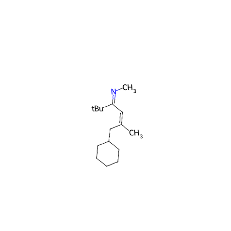 C/N=C(\C=C(\C)CC1CCCCC1)C(C)(C)C